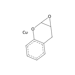 [Cu].c1ccc2c(c1)CC1OC1O2